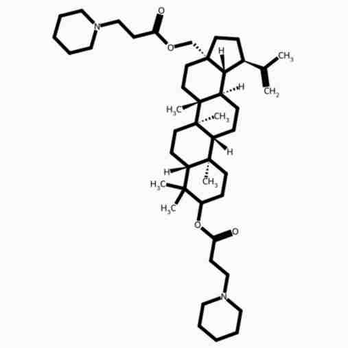 C=C(C)[C@@H]1CC[C@]2(COC(=O)CCN3CCCCC3)CC[C@]3(C)[C@H](CC[C@@H]4[C@@]5(C)CCC(OC(=O)CCN6CCCCC6)C(C)(C)[C@@H]5CC[C@]43C)[C@@H]12